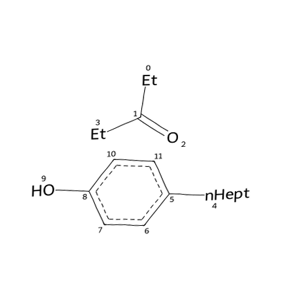 CCC(=O)CC.CCCCCCCc1ccc(O)cc1